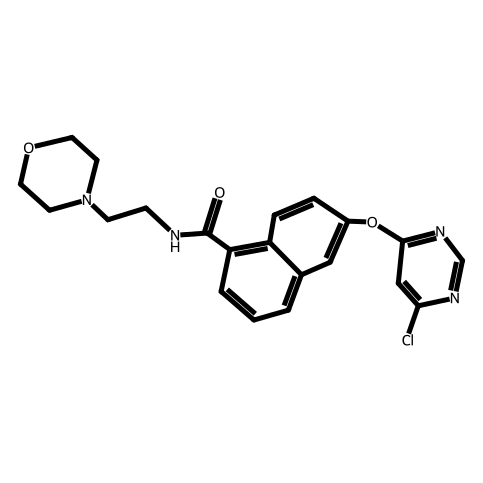 O=C(NCCN1CCOCC1)c1cccc2cc(Oc3cc(Cl)ncn3)ccc12